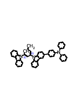 C=C/C=C(\C=C(/C)n1c2ccccc2c2ccccc21)n1c2ccccc2c2cc(-c3ccc(N(c4ccccc4)c4ccccc4)cc3)ccc21